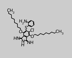 CCCCCCCCCOc1c(Cl)c(Sc2ccccc2N)c(OCCCCCCCCC)c2c1C(=N)NC2=N